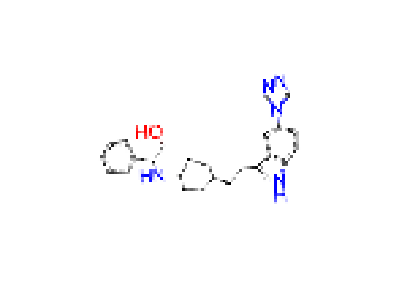 OC[C@H](N[C@H]1CC[C@H](CCc2c[nH]c3ccc(-n4cnnc4)cc23)CC1)c1ccccc1